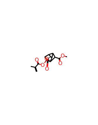 C=C(C)C(=O)OC1C2OC(=O)CC34C1C(C(=O)OC)C3C24